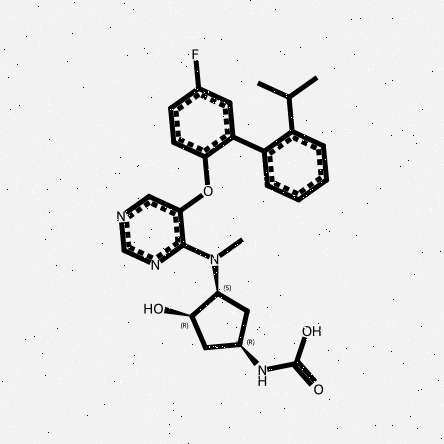 CC(C)c1ccccc1-c1cc(F)ccc1Oc1cncnc1N(C)[C@H]1C[C@@H](NC(=O)O)C[C@H]1O